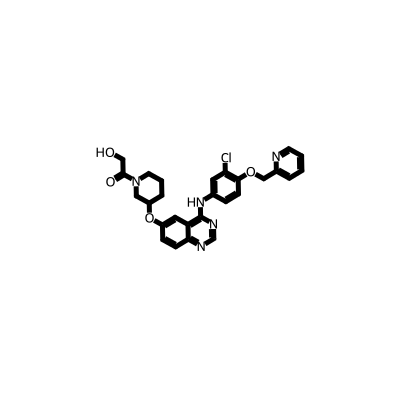 O=C(CO)N1CCCC(Oc2ccc3ncnc(Nc4ccc(OCc5ccccn5)c(Cl)c4)c3c2)C1